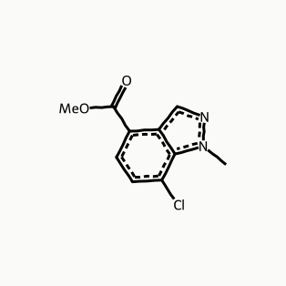 COC(=O)c1ccc(Cl)c2c1cnn2C